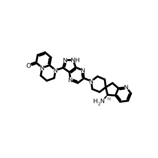 N[C@@H]1c2cccnc2CC12CCN(c1cnc3c(N4CCCn5c4cccc5=O)n[nH]c3n1)CC2